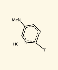 CNc1cnc(F)nc1.Cl